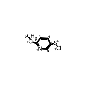 COc1ccc(SCl)cn1